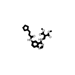 COC(=O)C(=CNc1ncnc2ccc(NC(=O)CCC3CCCC3)cc12)C(=O)OC